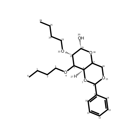 CCCCOC1[C@@H]2OC(c3ccccc3)OCC2O[C@@H](O)[C@H]1OCCCC